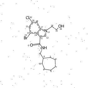 O=C(NCC1CCCCCC1)c1cn(CCO)c2cc(Cl)cc(Br)c12